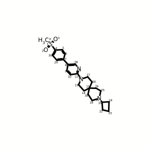 CS(=O)(=O)c1ccc(-c2ccc(N3CCC4(CC3)CCN(C3CCC3)CC4)nc2)cc1